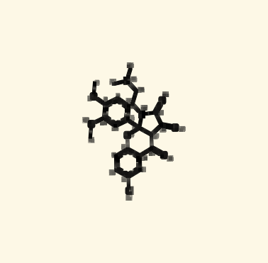 COc1ccc(C23Oc4ccc(Cl)cc4C(=O)C2C(=O)C(=O)N3CCN(C)C)cc1OC